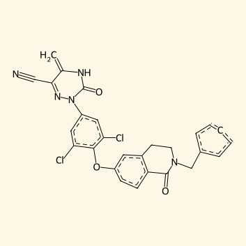 C=C1NC(=O)N(c2cc(Cl)c(Oc3ccc4c(c3)CCN(Cc3ccccc3)C4=O)c(Cl)c2)N=C1C#N